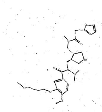 COCCCOc1cc(C(=O)N(C[C@@H]2CNC[C@H]2CN(C)C(=O)Cc2ccco2)C(C)C)ccc1OC